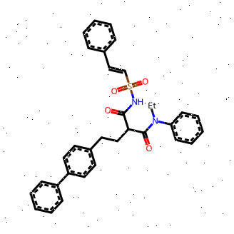 CCN(C(=O)C(CCc1ccc(-c2ccccc2)cc1)C(=O)NS(=O)(=O)C=Cc1ccccc1)c1ccccc1